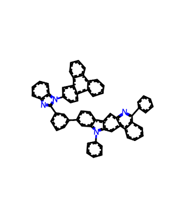 c1ccc(-c2nc3cc4c5ccc(-c6cccc(-c7nc8ccccc8n7-c7ccc8c9ccccc9c9ccccc9c8c7)c6)cc5n(-c5ccccc5)c4cc3c3ccccc23)cc1